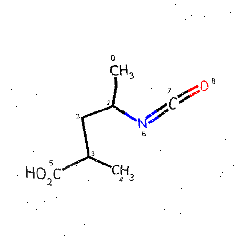 CC(CC(C)C(=O)O)N=C=O